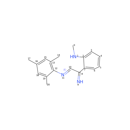 CNc1ccccc1C(=N)/C=N/c1c(C)cc(C)cc1C